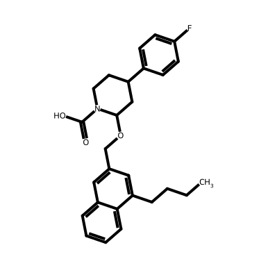 CCCCc1cc(COC2CC(c3ccc(F)cc3)CCN2C(=O)O)cc2ccccc12